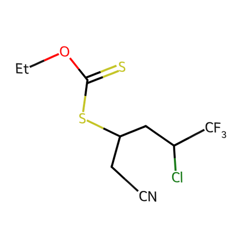 CCOC(=S)SC(CC#N)CC(Cl)C(F)(F)F